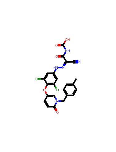 Cc1ccc(Cn2cc(Oc3c(Cl)cc(NN=C(C#N)C(=O)NC(=O)O)cc3Cl)ccc2=O)cc1